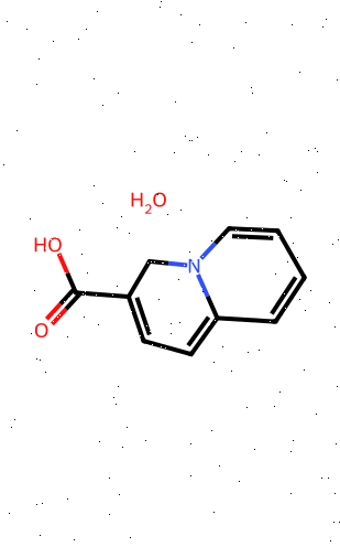 O.O=C(O)C1=CC=C2C=CC=CN2C1